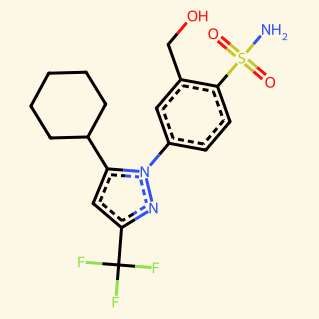 NS(=O)(=O)c1ccc(-n2nc(C(F)(F)F)cc2C2CCCCC2)cc1CO